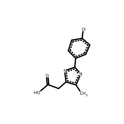 Cc1nc(-c2ccc(Cl)cc2)sc1CC(=O)O